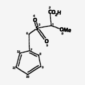 COC(C(=O)O)S(=O)(=O)Cc1ccccc1